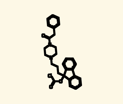 O=C(Cl)OC1(CCCN2CCN(C(=O)Cc3ccccc3)CC2)c2ccccc2-c2ccccc21